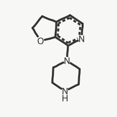 c1cc2c(c(N3CCNCC3)n1)OCC2